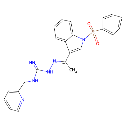 CC(=NNC(=N)NCc1ccccn1)c1cn(S(=O)(=O)c2ccccc2)c2ccccc12